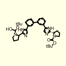 CC(C)(C)OC(=O)N1CCC[C@H]1c1ncc(-c2cccc(-c3cccc(-c4cnc(C5CCCN5C(O)OC(C)(C)C)[nH]4)c3)c2)[nH]1